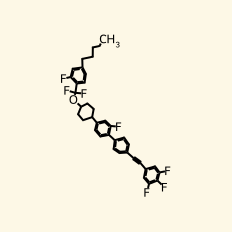 CCCCCc1ccc(C(F)(F)OC2CCC(c3ccc(-c4ccc(C#Cc5cc(F)c(F)c(F)c5)cc4)c(F)c3)CC2)c(F)c1